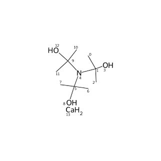 CC(C)(O)N(C(C)(C)O)C(C)(C)O.[CaH2]